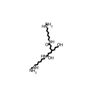 NCNCCCCCCN[C@H](O)CCC(CCCO)CCC(=O)NCCCCCCNN